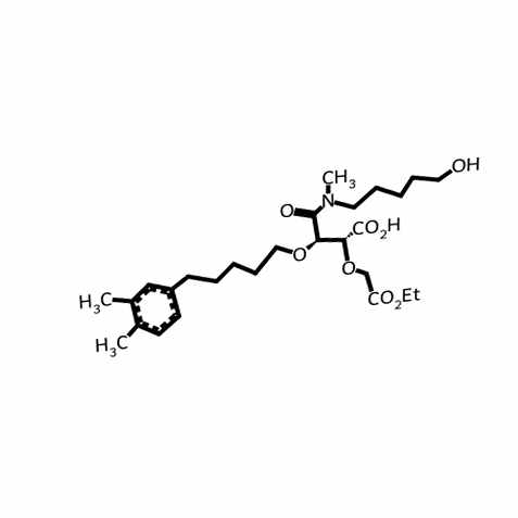 CCOC(=O)CO[C@@H](C(=O)O)[C@@H](OCCCCCc1ccc(C)c(C)c1)C(=O)N(C)CCCCCO